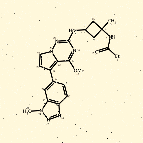 CCC(=O)NC1(C)CC(Nc2nc(OC)c3c(-c4ccc5nnn(C)c5c4)ccn3n2)C1